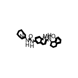 COc1cccc2c1C(Nc1ccc3cc(NC(=O)NC4CC5CCCC(C4)N5C)ccc3n1)CCC2